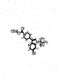 CC(C)[Si](C(C)C)(C(C)C)n1cc(C2CCN(C(=O)OC(C)(C)C)CC2)c2ncc(Br)cc21